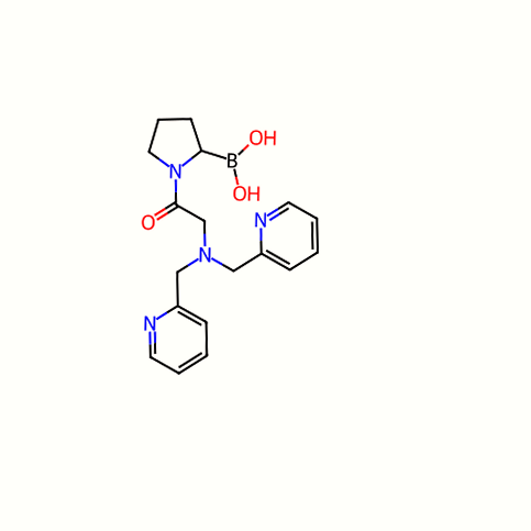 O=C(CN(Cc1ccccn1)Cc1ccccn1)N1CCCC1B(O)O